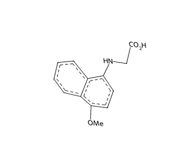 COc1ccc(NCC(=O)O)c2ccccc12